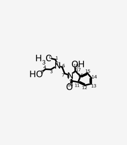 CCN(CCO)CCN1C(=O)c2ccccc2C1O